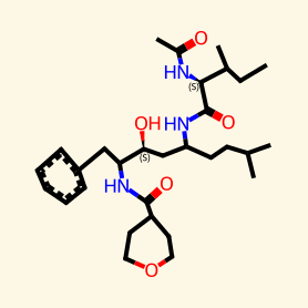 CCC(C)[C@H](NC(C)=O)C(=O)NC(CCC(C)C)C[C@H](O)C(Cc1ccccc1)NC(=O)C1CCOCC1